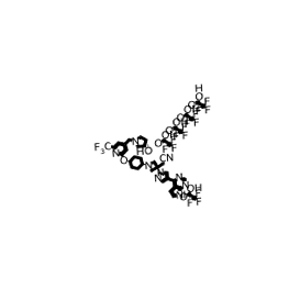 N#CCC1(n2cc(-c3ncnc4[nH]ccc34)cn2)CN([C@H]2CC[C@@H](Oc3cc(CN4CC[C@@H](O)C4)cc(C(F)(F)F)n3)CC2)C1.O=C(O)C(F)(F)F.O=C(O)C(F)(F)F.O=C(O)C(F)(F)F.O=C(O)C(F)(F)F.O=C(O)C(F)(F)F